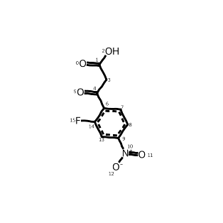 O=C(O)CC(=O)c1ccc([N+](=O)[O-])cc1F